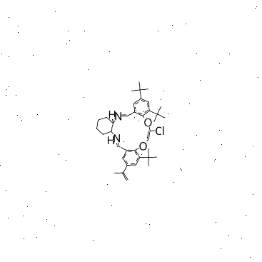 C=C(C)c1cc2c(c(C(C)(C)C)c1)O/C=C(/Cl)Oc1c(cc(C(C)(C)C)cc1C(C)(C)C)/C=N/[C@H]1CCCC[C@@H]1/N=C/2